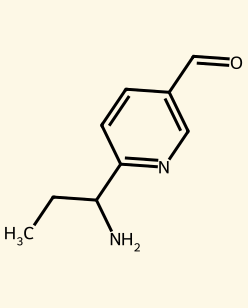 CCC(N)c1ccc(C=O)cn1